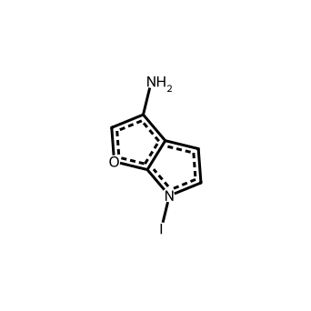 Nc1coc2c1ccn2I